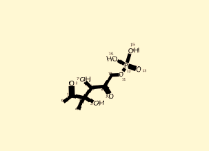 CC(=O)C(C)(O)C(O)C(=O)COP(=O)(O)O